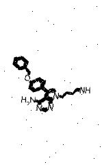 N=CCCCn1cc(-c2ccc(OCc3ccccc3)cc2)c2c(N)ncnc21